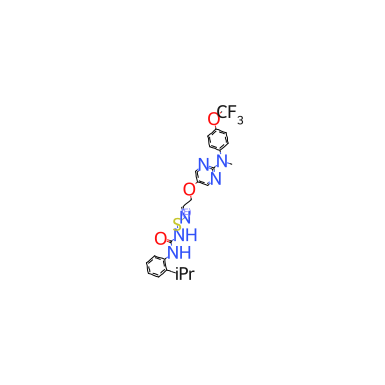 CC(C)c1ccccc1NC(=O)NS/N=C/COc1cnc(N(C)c2ccc(OC(F)(F)F)cc2)nc1